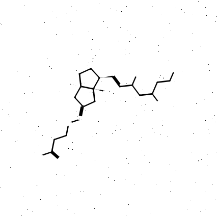 CCCC(C)CC(O)C=C[C@H]1[C@@H]2CC(=NOCCC(=O)O)C[C@H]2C[C@@H]1O